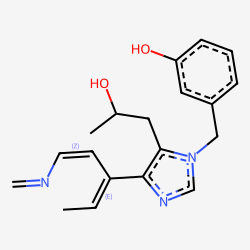 C=N/C=C\C(=C/C)c1ncn(Cc2cccc(O)c2)c1CC(C)O